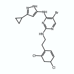 ClC1=C(CCNc2ncc(Br)c(Nc3cc(C4CC4)n[nH]3)n2)C=CC(Cl)C1